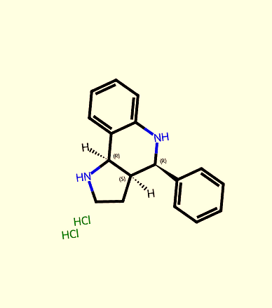 Cl.Cl.c1ccc([C@@H]2Nc3ccccc3[C@@H]3NCC[C@H]23)cc1